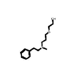 CN(CCCSCCO)CCc1ccccc1